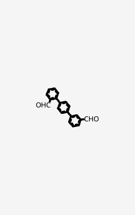 O=Cc1cccc(-c2ccc(-c3ccccc3C=O)cc2)c1